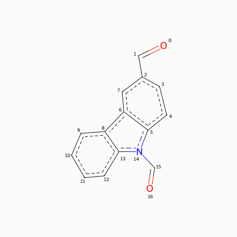 O=Cc1ccc2c(c1)c1ccccc1n2C=O